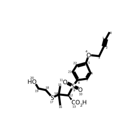 CC#CCOc1ccc(S(=O)(=O)[C@@H](C(=O)O)C(C)(C)SCCO)cc1